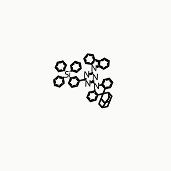 c1ccc([Si](c2ccccc2)(c2ccccc2)c2cccc(-c3nc(N4c5ccccc5C5(c6ccccc64)C4CC6CC(C4)CC5C6)nc(-n4c5ccccc5c5ccccc54)n3)c2)cc1